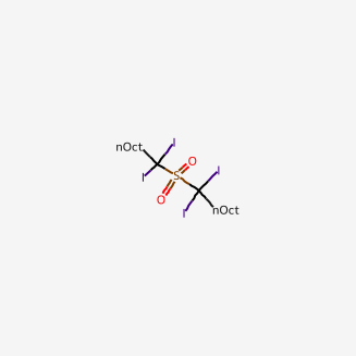 CCCCCCCCC(I)(I)S(=O)(=O)C(I)(I)CCCCCCCC